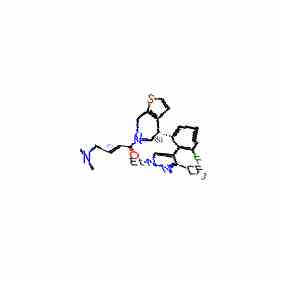 CCn1cc(-c2c(F)cccc2[C@@H]2CN(C(=O)/C=C/CN(C)C)Cc3sccc32)c(C(F)(F)F)n1